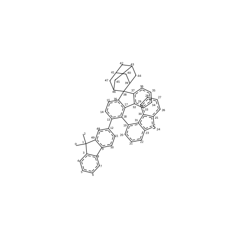 CC1(C)c2ccccc2-c2ccc(-c3ccc4c(c3-c3cccc5sc6ccccc6c35)-c3ccccc3C43C4CC5CC(C4)CC3C5)cc21